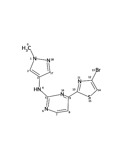 Cn1cc(Nc2nccc(-c3nc(Br)cs3)n2)cn1